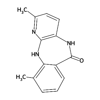 Cc1ccc2c(n1)Nc1c(C)cccc1C(=O)N2